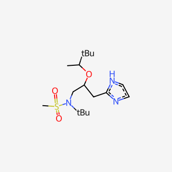 CC(OC(Cc1ncc[nH]1)CN(C(C)(C)C)S(C)(=O)=O)C(C)(C)C